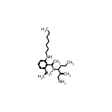 C=Cc1cccc(NCCCCCCC)c1C(=C)N(C)C(CCC)C(=C)CN